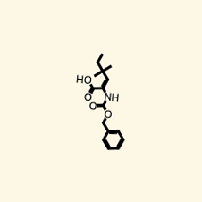 CCC(C)(C)C=C(NC(=O)OCc1ccccc1)C(=O)O